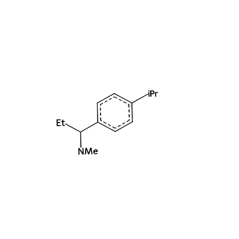 CCC(NC)c1ccc(C(C)C)cc1